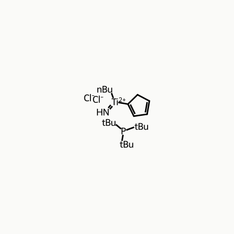 CC(C)(C)P(C(C)(C)C)C(C)(C)C.CCC[CH2][Ti+2](=[NH])[C]1=CC=CC1.[Cl-].[Cl-]